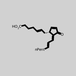 CCCCC/C=C/C=C1/C(=O)C=C[C@H]1C/C=C/CCCC(=O)O